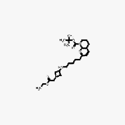 CCOC(=O)CN1CC(NCCCCCc2ccc3c(n2)N(C(=O)OC(C)(C)C)CCC3)C1